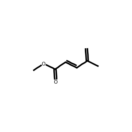 C=C(C)/C=C/C(=O)OC